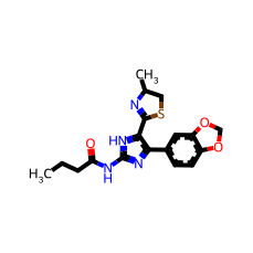 CCCC(=O)Nc1nc(-c2ccc3c(c2)OCO3)c(C2=NC(C)CS2)[nH]1